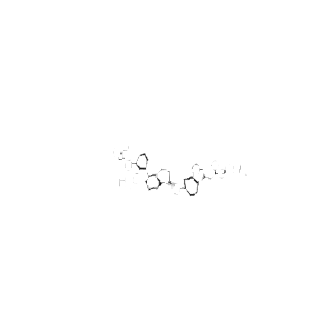 COC(=O)C[C@@H]1COc2cc(O[C@@H]3CCc4c(-c5cccc(OCCO)c5C)cccc43)ccc21